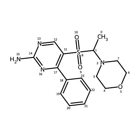 CC(N1CCOCC1)S(=O)(=O)c1cnc(N)nc1-c1ccccc1